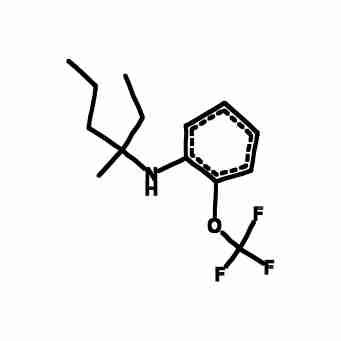 CCCC(C)(CC)Nc1ccccc1OC(F)(F)F